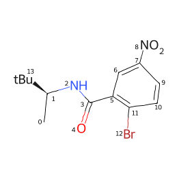 C[C@H](NC(=O)c1cc([N+](=O)[O-])ccc1Br)C(C)(C)C